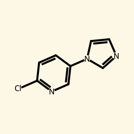 Clc1ccc(-n2ccnc2)cn1